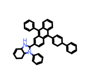 C1=CC2NC(c3ccc4c(C5=CCC(c6ccccc6)C=C5)c5ccccc5c(-c5ccccc5)c4c3)N(c3ccccc3)C2CC1